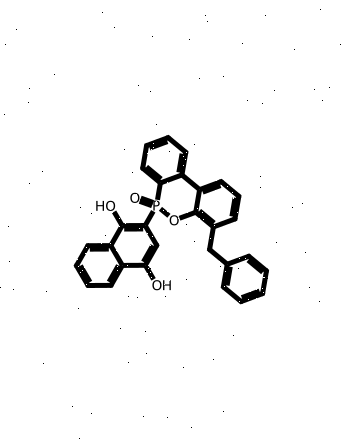 O=P1(c2cc(O)c3ccccc3c2O)Oc2c(Cc3ccccc3)cccc2-c2ccccc21